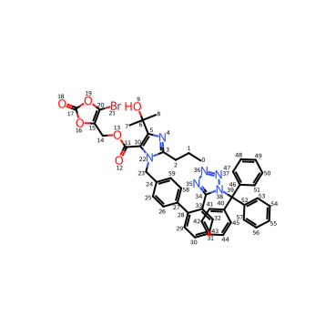 CCCc1nc(C(C)(C)O)c(C(=O)OCc2oc(=O)oc2Br)n1Cc1ccc(-c2ccccc2-c2nnnn2C(c2ccccc2)(c2ccccc2)c2ccccc2)cc1